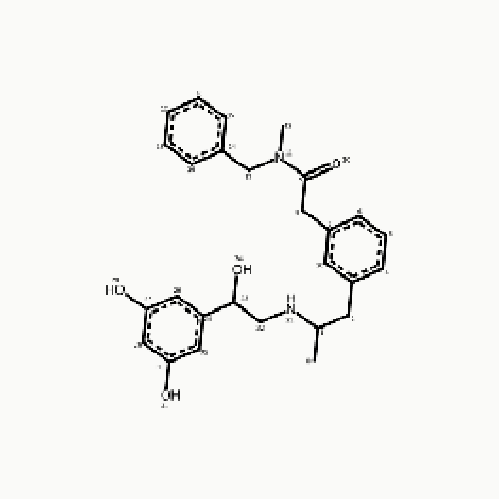 CC(Cc1cccc(CC(=O)N(C)Cc2ccccc2)c1)NCC(O)c1cc(O)cc(O)c1